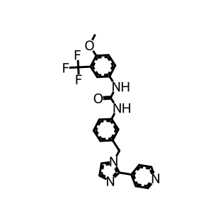 COc1ccc(NC(=O)Nc2cccc(Cn3ccnc3-c3ccncc3)c2)cc1C(F)(F)F